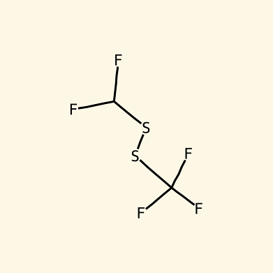 FC(F)SSC(F)(F)F